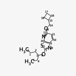 CCCC(CC)Oc1nc2ccc(OCC3CCC3)nc2s1